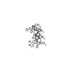 CC(=O)O[C@@]1(NC(=O)OC2CCC2)CC[C@]2(C)[C@H]3CC[C@@H]4C5=C(C(C)C)C(=O)C[C@]5(C)CC[C@@]4(C)[C@]3(C)CC[C@H]2C1(C)C